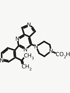 C=C(C)c1cnccc1-c1nc(N2CCN(C(=O)O)CC2)c2ccncc2n1